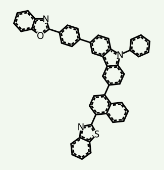 c1ccc(-n2c3ccc(-c4ccc(-c5nc6ccccc6o5)cc4)cc3c3cc(-c4ccc(-c5nc6ccccc6s5)c5ccccc45)ccc32)cc1